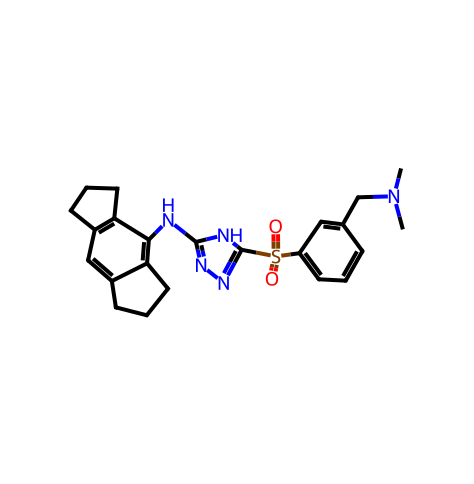 CN(C)Cc1cccc(S(=O)(=O)c2nnc(Nc3c4c(cc5c3CCC5)CCC4)[nH]2)c1